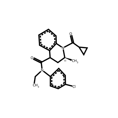 CCN(C(=O)C1C[C@H](C)N(C(=O)C2CC2)c2ccccc21)c1ccc(Cl)cc1